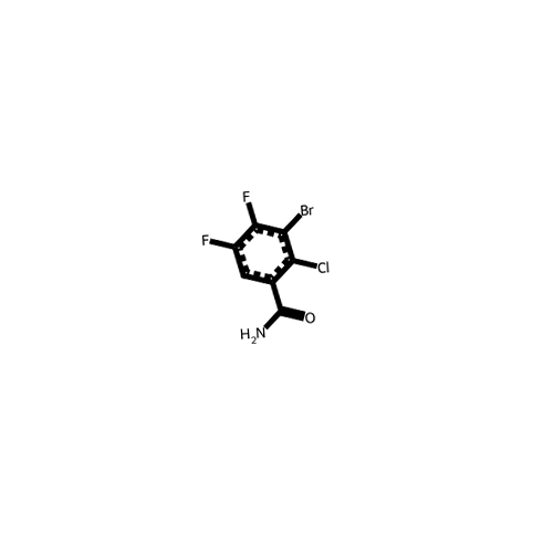 NC(=O)c1cc(F)c(F)c(Br)c1Cl